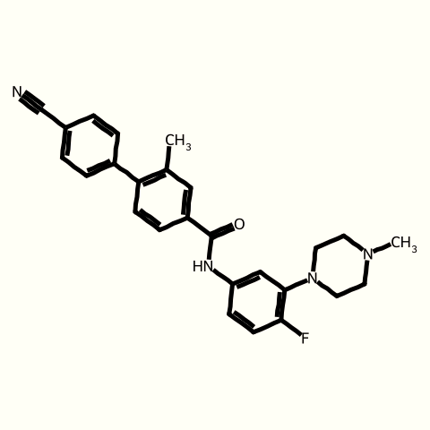 Cc1cc(C(=O)Nc2ccc(F)c(N3CCN(C)CC3)c2)ccc1-c1ccc(C#N)cc1